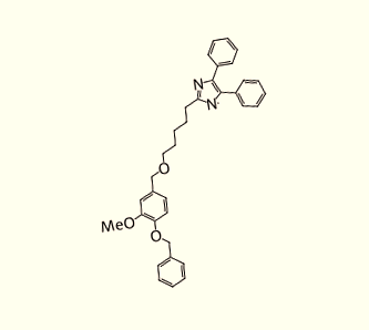 COc1cc(COCCCCCC2=NC(c3ccccc3)=C(c3ccccc3)[N]2)ccc1OCc1ccccc1